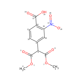 COC(=O)C(C(=O)OC)c1ccc(C(=O)O)c([N+](=O)[O-])c1